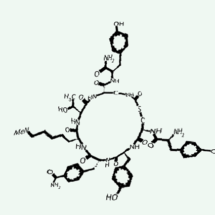 CNCCCCC[C@@H]1NC(=O)[C@@H](Cc2ccc(C(N)=O)cc2)NC(=O)[C@H](Cc2ccc(O)cc2)NC(=O)[C@H](NC(=O)[C@@H](N)Cc2ccc(Cl)cc2)CSC(=O)NC[C@@H](C(=O)N[C@H](Cc2ccc(O)cc2)C(N)=O)NC(=O)[C@H](C(C)O)NC1=O